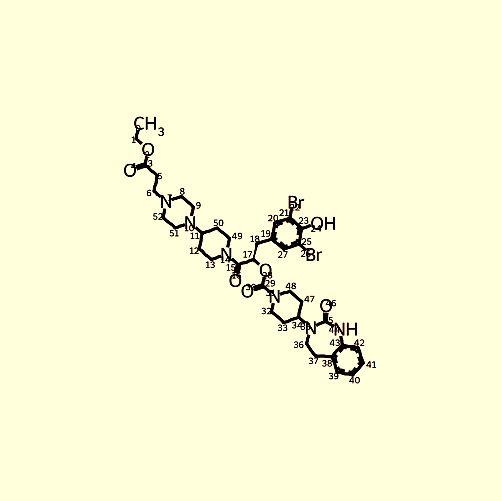 CCOC(=O)CCN1CCN(C2CCN(C(=O)[C@@H](Cc3cc(Br)c(O)c(Br)c3)OC(=O)N3CCC(N4CCc5ccccc5NC4=O)CC3)CC2)CC1